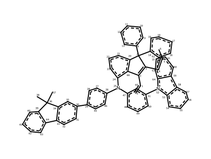 C=CC1=C(/C=C\C)C(c2ccccc2)(c2ccccc2)c2cccc(N(c3ccc(-c4ccc5c(c4)C(C)(C)c4ccccc4-5)cc3)c3cccc(-n4c5ccccc5c5ccccc54)c3)c21